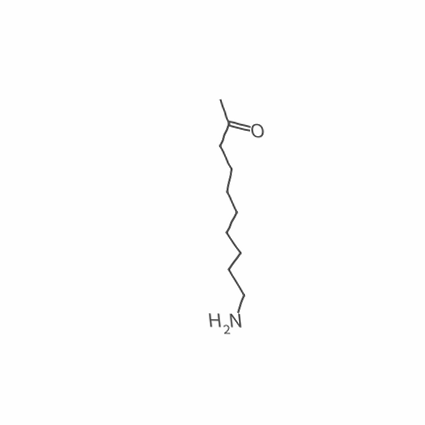 CC(=O)CCCCCCCCN